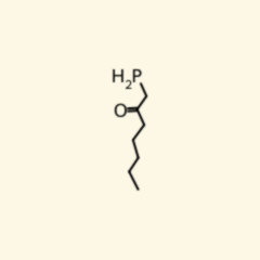 CCCCCC(=O)CP